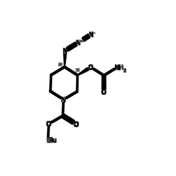 CC(C)(C)OC(=O)N1CC[C@@H](N=[N+]=[N-])[C@@H](OC(N)=O)C1